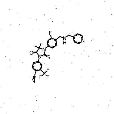 CC1(C)C(=O)N(c2ccc(C#N)c(C(F)(F)F)c2)C(=S)N1c1ccc(CNCc2ccncc2)c(F)c1